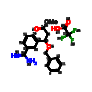 COC(=O)CC(OCc1ccccc1)c1cccc(C(=N)N)c1.O=C(O)C(F)(F)F